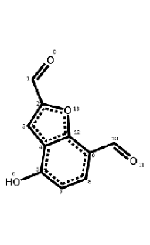 O=Cc1cc2c(O)ccc(C=O)c2o1